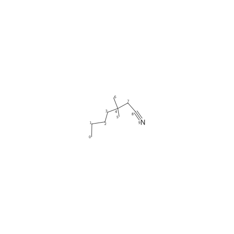 CCCCC(C)(C)CC#N